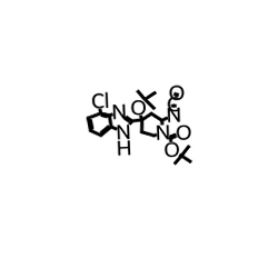 CC(C)(C)OC(=O)N1CCC(OC(C)(C)C)(c2nc3c(Cl)cccc3[nH]2)CC1N=C=O